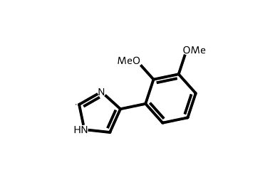 COc1cccc(-c2c[nH][c]n2)c1OC